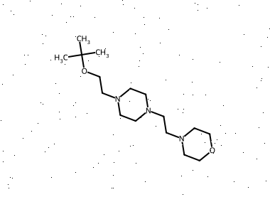 CC(C)(C)OCCN1CCN(CCN2CCOCC2)CC1